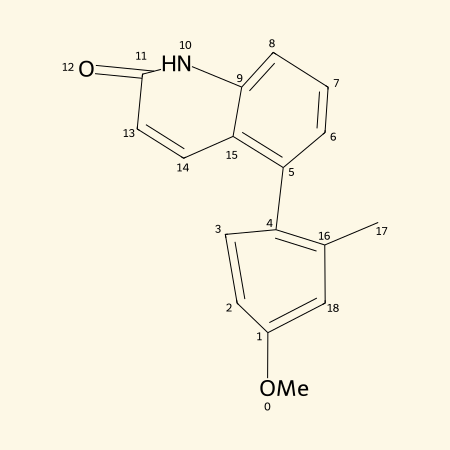 COc1ccc(-c2cccc3[nH]c(=O)ccc23)c(C)c1